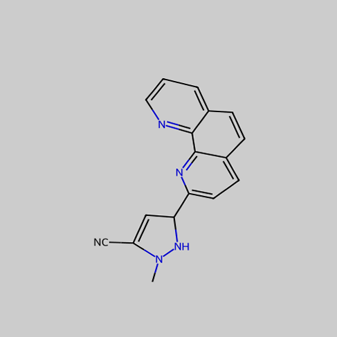 CN1NC(c2ccc3ccc4cccnc4c3n2)C=C1C#N